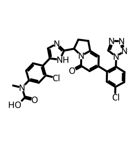 CN(C(=O)O)c1ccc(-c2cnc(C3CCc4cc(-c5cc(Cl)ccc5-n5cnnn5)cc(=O)n43)[nH]2)c(Cl)c1